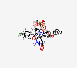 Cn1cc(-c2cc(CS(C)(=O)=O)ccc2C(=O)c2ccc(F)cc2)c([C@H](CC(=O)OC(C)(C)C)N[SiH]=O)cc1=O